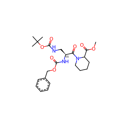 COC(=O)C1CCCCN1C(=O)[C@H](CNC(=O)OC(C)(C)C)NC(=O)OCc1ccccc1